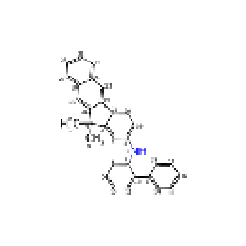 CC1(C)c2cc(Nc3ccccc3-c3ccccc3)ccc2-c2cc3ccccc3cc21